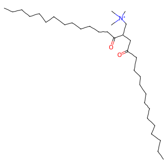 CCCCCCCCCCCCCC(=O)CC(C[N+](C)(C)C)C(=O)CCCCCCCCCCCCC